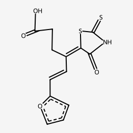 O=C(O)CCC(/C=C/c1ccco1)=C1\SC(=S)NC1=O